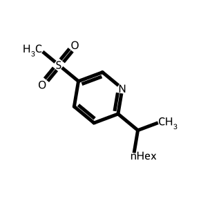 CCCCCCC(C)c1ccc(S(C)(=O)=O)cn1